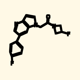 O=C(Cn1ccc2ncc(-c3ccc(F)cc3)cc21)N1CC(F)C1